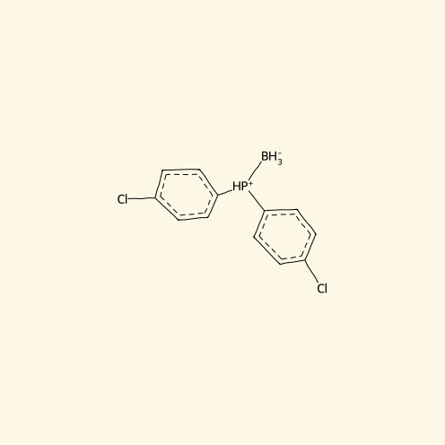 [BH3-][PH+](c1ccc(Cl)cc1)c1ccc(Cl)cc1